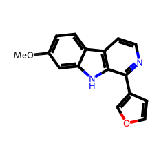 COc1ccc2c(c1)[nH]c1c(-c3ccoc3)nccc12